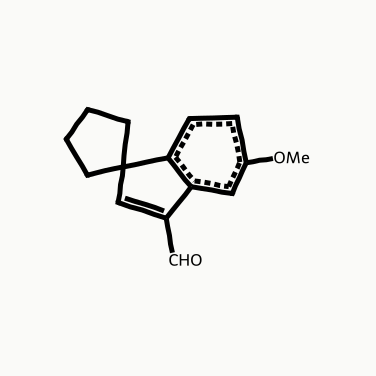 COc1ccc2c(c1)C(C=O)=CC21CCCC1